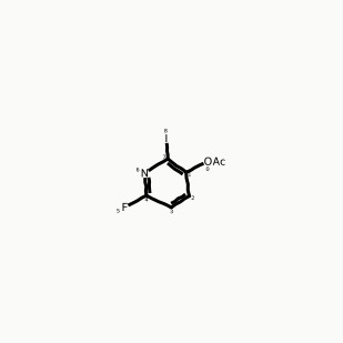 CC(=O)Oc1ccc(F)nc1I